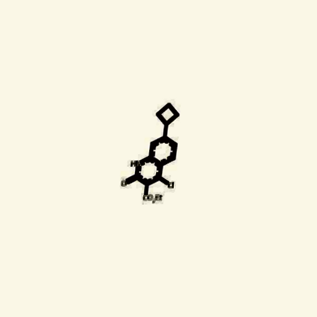 CCOC(=O)c1c(Cl)c2ccc(C3CCC3)cc2[nH]c1=O